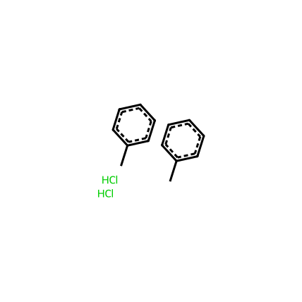 Cc1ccccc1.Cc1ccccc1.Cl.Cl